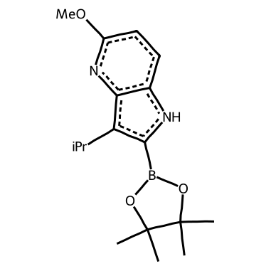 COc1ccc2[nH]c(B3OC(C)(C)C(C)(C)O3)c(C(C)C)c2n1